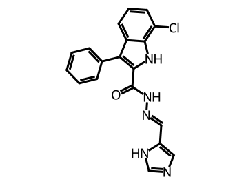 O=C(NN=Cc1cnc[nH]1)c1[nH]c2c(Cl)cccc2c1-c1ccccc1